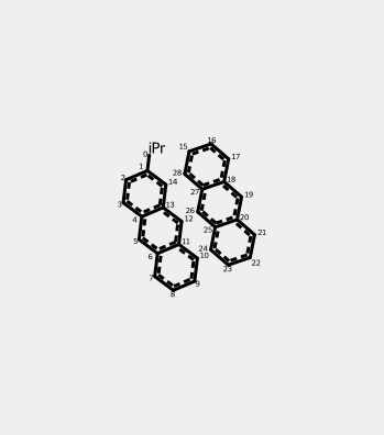 CC(C)c1ccc2cc3ccccc3cc2c1.c1ccc2cc3ccccc3cc2c1